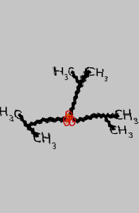 CCCCCC(CCCCC)CCCCCCCCCCCOP(OCCCCCCCCCCCC(CCCCC)CCCCC)OCCCCCCCCCCCC(CCCCC)CCCCC